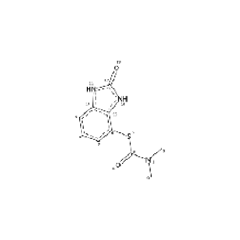 CN(C)C(=O)Sc1cccc2[nH]c(=O)[nH]c12